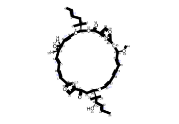 C/C=C/CC(C)(C)[C@@H]1C/C=C\[C@H]2O[C@H]2/C=C/C=C\c2nc(co2)C(=O)C[C@H](C(C)(C)[C@@H](O)/C=C/C)C\C=C/C=C\C=C\[C@H](OC)Cc2nc(co2)C(=O)O1